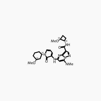 CNc1cc(Nc2cccn([C@H]3CCC[C@H](OC)C3)c2=O)nc2c(C(=O)N[C@H]3CC[C@@H]3OC)cnn12